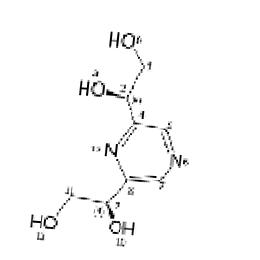 OC[C@H](O)c1cncc([C@@H](O)CO)n1